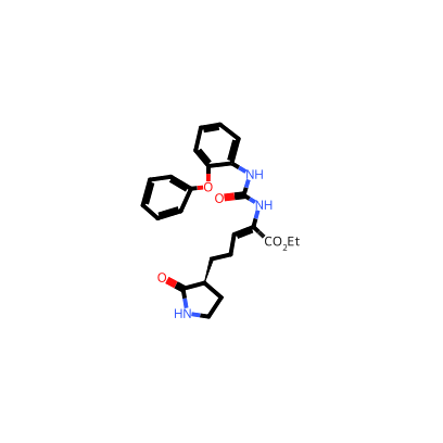 CCOC(=O)C(=CCC[C@H]1CCNC1=O)NC(=O)Nc1ccccc1Oc1ccccc1